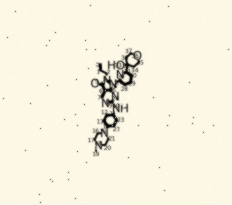 C=CCn1c(=O)c2cnc(Nc3ccc(N4CCN(C)CC4)cc3)nc2n1-c1cccc(C2(O)CCOCC2)n1